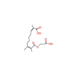 CC(=CCCCCC(C)=C(C)C(=O)OCCC(=O)O)C(=O)O